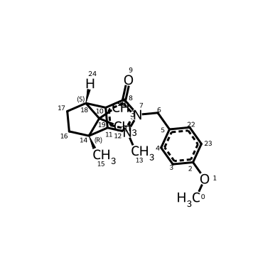 COc1ccc(Cn2c(=O)c3c(n2C)[C@]2(C)CC[C@H]3C2(C)C)cc1